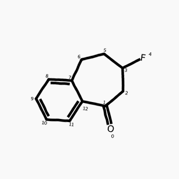 O=C1CC(F)CCc2ccccc21